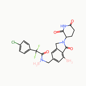 Bc1cc(CN(B)C(=O)C(F)(F)c2ccc(Cl)cc2)cc2c1C(=O)N(C1CCC(=O)NC1=O)C2